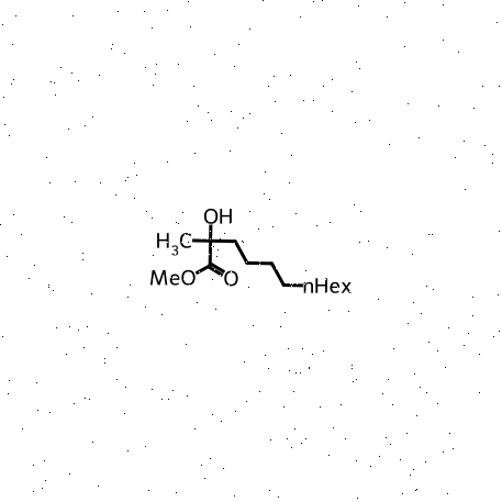 CCCCCCCCCCC(C)(O)C(=O)OC